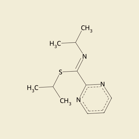 CC(C)/N=C(\SC(C)C)c1ncccn1